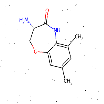 Cc1cc(C)c2c(c1)OC[C@H](N)C(=O)N2